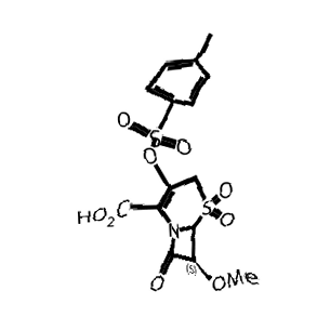 CO[C@H]1C(=O)N2C(C(=O)O)=C(OS(=O)(=O)c3ccc(C)cc3)CS(=O)(=O)C12